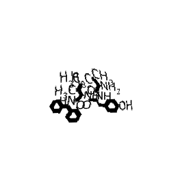 CCC(C)[C@H](NC(=O)[C@H](Cc1ccc(O)cc1)NC(=O)[C@@H](N)C(C)C)C(=O)NC(c1ccccc1)c1ccccc1